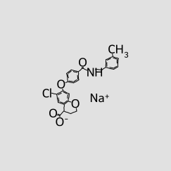 Cc1cccc(CCNC(=O)c2ccc(Oc3cc4c(cc3Cl)C(C(=O)[O-])CCO4)cc2)c1.[Na+]